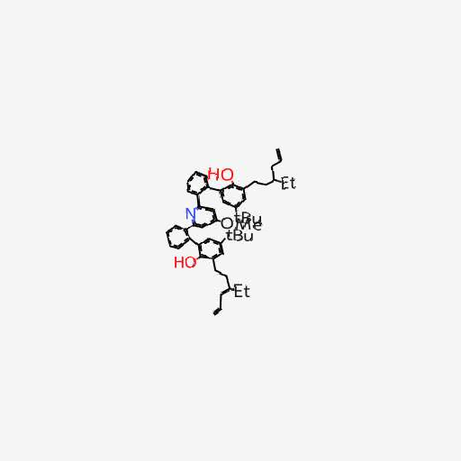 C=CCC(CC)CCc1cc(C(C)(C)C)cc(-c2ccccc2-c2cc(OC)cc(-c3ccccc3-c3cc(C(C)(C)C)cc(CCC(CC)CC=C)c3O)n2)c1O